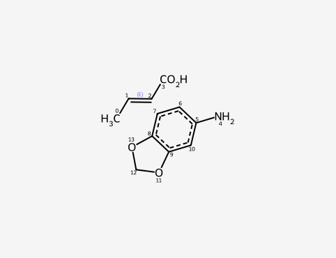 C/C=C/C(=O)O.Nc1ccc2c(c1)OCO2